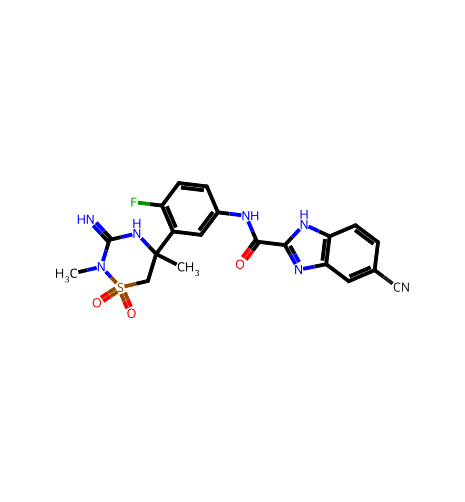 CN1C(=N)NC(C)(c2cc(NC(=O)c3nc4cc(C#N)ccc4[nH]3)ccc2F)CS1(=O)=O